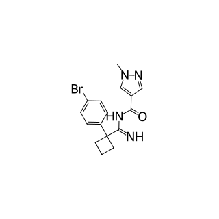 Cn1cc(C(=O)NC(=N)C2(c3ccc(Br)cc3)CCC2)cn1